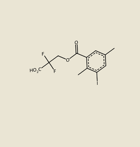 Cc1cc(I)c(C)c(C(=O)OCC(F)(F)C(=O)O)c1